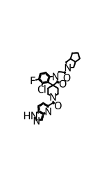 O=C(CN1C(=O)C2(CCN(C(=O)c3ccc4[nH]ncc4n3)CC2)c2c1ccc(F)c2Cl)N1CC2CCCC2C1